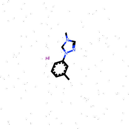 Cc1cccc(N2CN(C)C=N2)c1.I